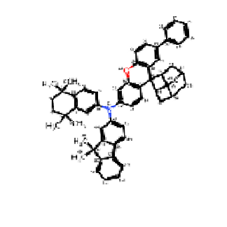 CC1(C)CCC(C)(C)c2cc(N(c3ccc4c(c3)Oc3ccc(-c5ccccc5)cc3C43C4CC5CC6CC3C64C5)c3ccc4c(c3)C(C)(C)c3ccccc3-4)ccc21